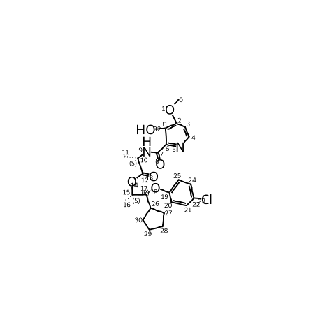 COc1ccnc(C(=O)N[C@@H](C)C(=O)O[C@@H](C)[C@H](Oc2ccc(Cl)cc2)C2CCCC2)c1O